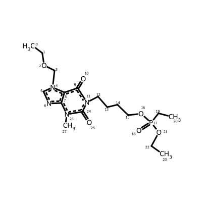 CCOCn1cnc2c1c(=O)n(CCCCOP(=O)(CC)OCC)c(=O)n2C